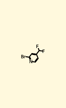 FC(F)c1ccnc(Br)c1